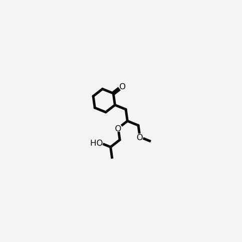 COCC(CC1CCCCC1=O)OCC(C)O